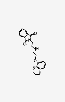 O=C1c2ccccc2C(=O)N1CCNCCOc1cccc2c1SCCC2